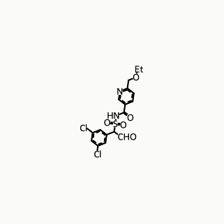 CCOCc1ccc(C(=O)NS(=O)(=O)C(C=O)c2cc(Cl)cc(Cl)c2)cn1